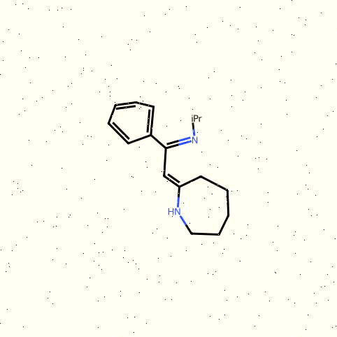 CC(C)N=C(C=C1CCCCCN1)c1ccccc1